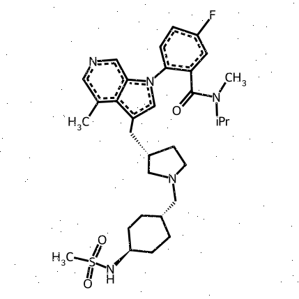 Cc1cncc2c1c(C[C@@H]1CCN(C[C@H]3CC[C@H](NS(C)(=O)=O)CC3)C1)cn2-c1ccc(F)cc1C(=O)N(C)C(C)C